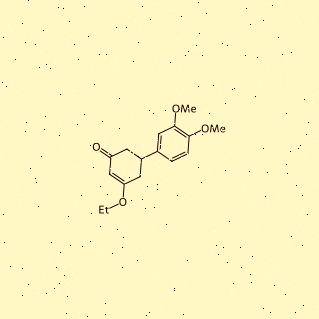 CCOC1=CC(=O)CC(c2ccc(OC)c(OC)c2)C1